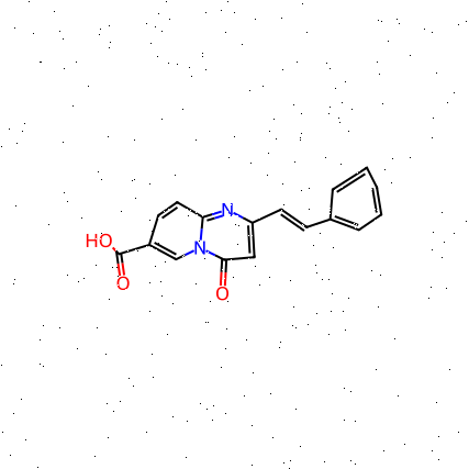 O=C(O)c1ccc2nc(/C=C/c3ccccc3)cc(=O)n2c1